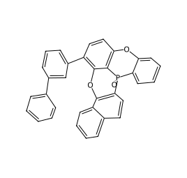 O=P12c3ccccc3Oc3ccc(-c4cccc(-c5ccccc5)c4)c(c31)Oc1c2ccc2ccccc12